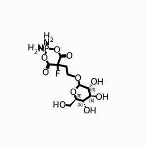 N[PH]1(N)OC(=O)C(F)(CCOC2O[C@H](CO)[C@@H](O)[C@H](O)[C@H]2O)C(=O)O1